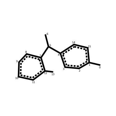 Cc1ccc(C(C)c2ccccc2C)cc1